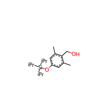 Cc1cc(O[Si](C(C)C)(C(C)C)C(C)C)cc(C)c1CO